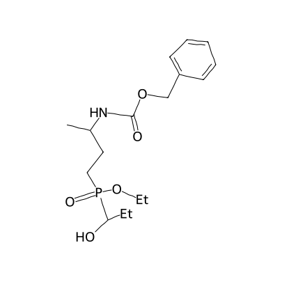 CCOP(=O)(CCC(C)NC(=O)OCc1ccccc1)C(O)CC